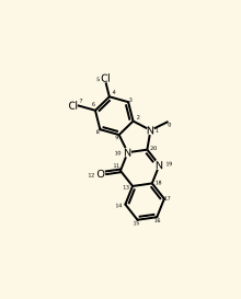 Cn1c2cc(Cl)c(Cl)cc2n2c(=O)c3ccccc3nc12